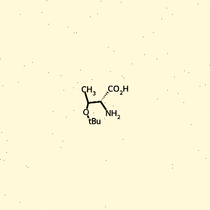 CC(OC(C)(C)C)[C@@H](N)C(=O)O